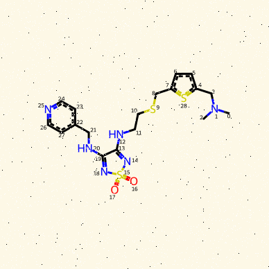 CN(C)Cc1ccc(CSCCNC2=NS(=O)(=O)N=C2NCc2ccncc2)s1